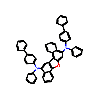 c1ccc(-c2ccc(N(c3ccccc3)c3cc4c(oc5cc(N(c6ccccc6)c6ccc(-c7ccccc7)cc6)c6ccccc6c54)c4ccccc34)cc2)cc1